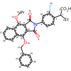 CCC(C(=O)O)c1ccc(N2C(=O)c3c(c(OC(C)C)c4ccccc4c3OCc3ccccc3)C2=O)cc1F